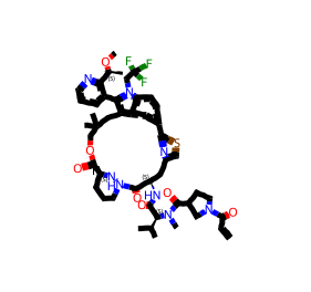 C=CC(=O)N1CCC(C(=O)N(C)[C@H](C(=O)N[C@H]2Cc3csc(n3)-c3ccc4c(c3)c(c(-c3cccnc3[C@H](C)OC)n4CC(F)(F)F)CC(C)(C)COC(=O)[C@@H]3CCCN(N3)C2=O)C(C)C)C1